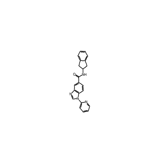 O=C(NC1Cc2ccccc2C1)c1ccc2c(c1)ncn2-c1ccccn1